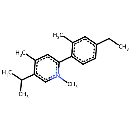 CCc1ccc(-c2cc(C)c(C(C)C)c[n+]2C)c(C)c1